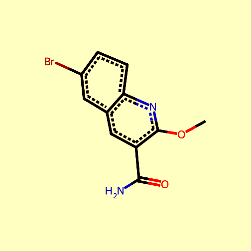 COc1nc2ccc(Br)cc2cc1C(N)=O